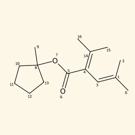 CC(C)=CC(C(=O)OC1(C)CCCC1)=C(C)C